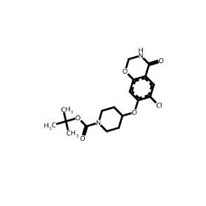 CC(C)(C)OC(=O)N1CCC(Oc2cc3c(cc2Cl)C(=O)NCO3)CC1